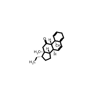 CC[C@H]1CC[C@H]2[C@@H]3C=CC4=CCC=C[C@]4(C)[C@H]3C(=O)C[C@]12C